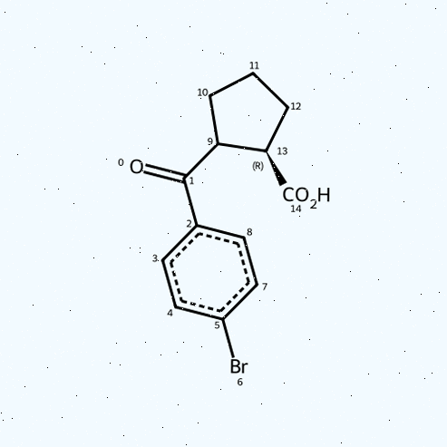 O=C(c1ccc(Br)cc1)C1CCC[C@H]1C(=O)O